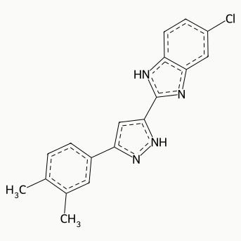 Cc1ccc(-c2cc(-c3nc4cc(Cl)ccc4[nH]3)[nH]n2)cc1C